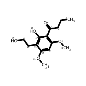 CCCC(=O)c1c(OC)cc(OC)c(CCO)c1O